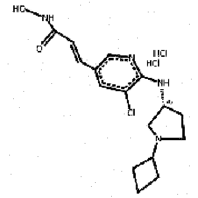 Cl.Cl.O=C(C=Cc1cnc(N[C@@H]2CCN(C3CCC3)C2)c(Cl)c1)NO